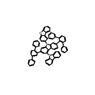 c1ccc(-c2ccc(-c3ccccc3)c(-c3cc(-n4c5ccccc5c5ccccc54)c4c5ccc(-c6c(-c7ccccc7)cccc6-c6ccccc6)cc5n(-c5ccc6oc7ccccc7c6c5)c4c3)c2)cc1